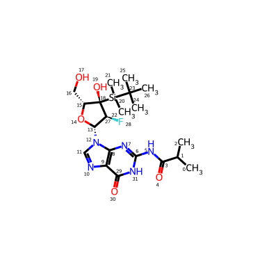 CC(C)C(=O)Nc1nc2c(ncn2[C@@H]2O[C@H](CO)[C@](O)([Si](C)(C)C(C)(C)C)[C@H]2F)c(=O)[nH]1